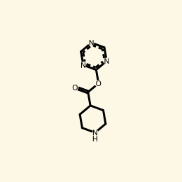 O=C(Oc1ncncn1)C1CCNCC1